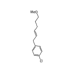 [CH2]OCCCC=CCc1ccc(Cl)cc1